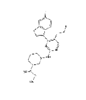 Cc1ccc2c(c1)CC=C2c1nc(NC2CCCN(C(=O)OC(C)(C)C)C2)ncc1CCF